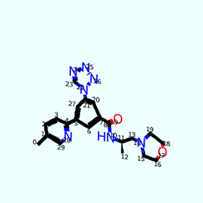 Cc1ccc(-c2cc(C(=O)N[C@H](C)CN3CCOCC3)cc(-n3cnnn3)c2)nc1